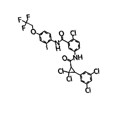 Cc1cc(OCC(F)(F)F)ccc1NC(=O)c1cc(NC(=O)C2C(c3cc(Cl)cc(Cl)c3)C2(Cl)Cl)ccc1Cl